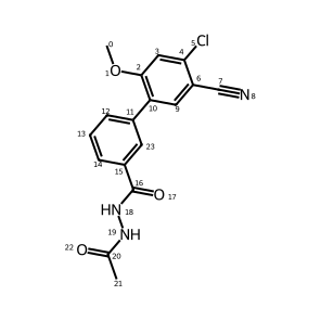 COc1cc(Cl)c(C#N)cc1-c1cccc(C(=O)NNC(C)=O)c1